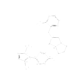 Cc1cccnc1CN1CC2CCC(Oc3ccc(-c4c(C)cnn4C)nn3)C2C1